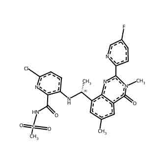 Cc1cc([C@@H](C)Nc2ccc(Cl)nc2C(=O)NS(C)(=O)=O)c2nc(-c3ccc(F)cn3)n(C)c(=O)c2c1